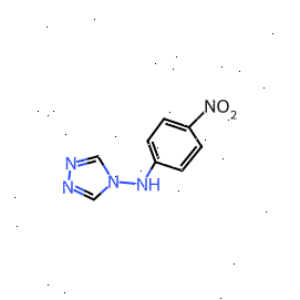 O=[N+]([O-])c1ccc(Nn2cnnc2)cc1